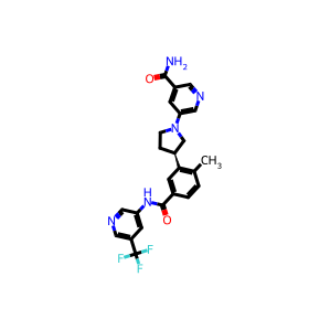 Cc1ccc(C(=O)Nc2cncc(C(F)(F)F)c2)cc1[C@H]1CCN(c2cncc(C(N)=O)c2)C1